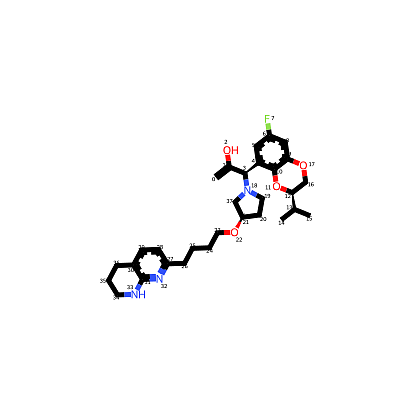 C=C(O)[C@@H](c1cc(F)cc2c1O[C@H](C(C)C)CO2)N1CC[C@@H](OCCCCc2ccc3c(n2)NCCC3)C1